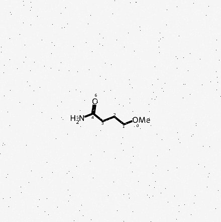 COCCCC(N)=O